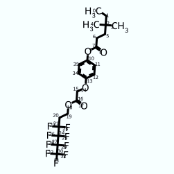 CCC(C)(C)CCC(=O)Oc1ccc(OCC(=O)OCCC(F)(F)C(F)(F)C(F)(F)C(F)(F)F)cc1